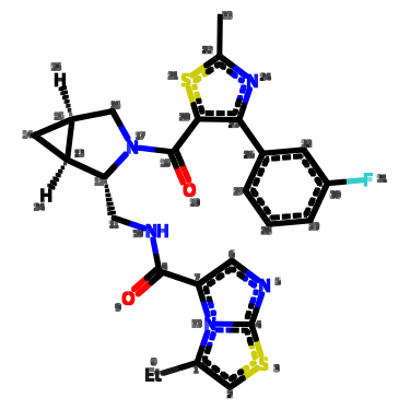 CCc1csc2ncc(C(=O)NC[C@@H]3[C@H]4C[C@H]4CN3C(=O)c3sc(C)nc3-c3cccc(F)c3)n12